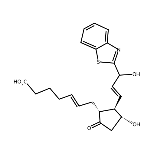 O=C(O)CCCC=CC[C@H]1C(=O)C[C@@H](O)[C@@H]1C=CC(O)c1nc2ccccc2s1